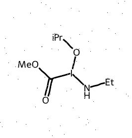 CCNI(OC(C)C)C(=O)OC